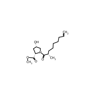 C=CCCCCC[C@H](C)C(=O)N1C[C@@H](O)C[C@H]1C(=O)OC